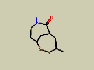 CC1CC2CC(CCNC2=O)SS1